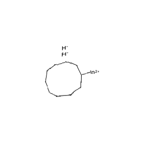 [H-].[H-].[In+2][CH]1CCCCCCCCC1